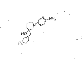 Nc1ccc(N2CCCC(O)(CN3CC[C@H](F)C3)C2)cn1